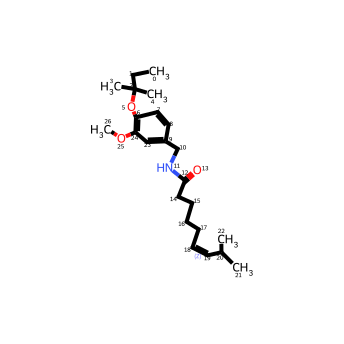 CCC(C)(C)Oc1ccc(CNC(=O)CCCC/C=C\C(C)C)cc1OC